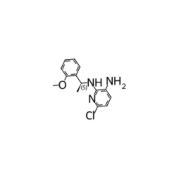 COc1ccccc1[C@H](C)Nc1nc(Cl)ccc1N